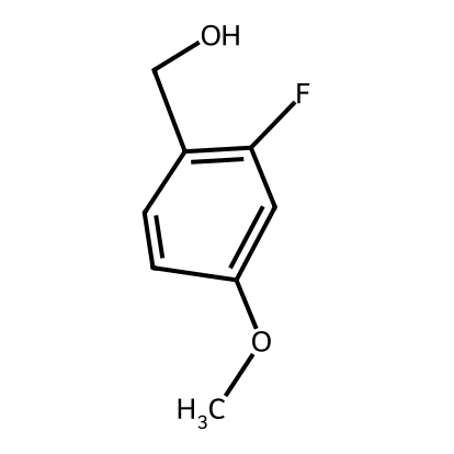 COc1ccc(CO)c(F)c1